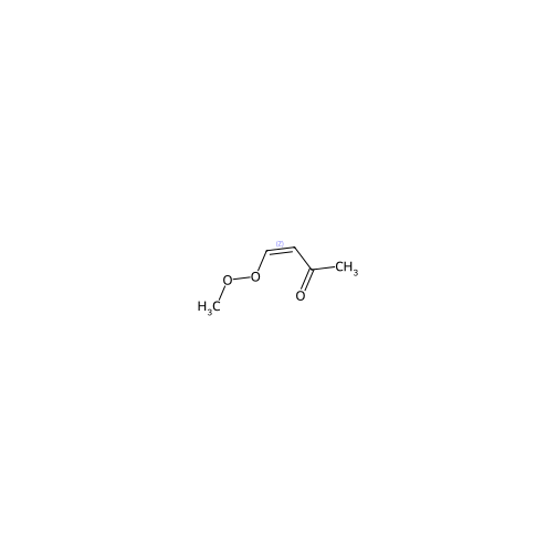 COO/C=C\C(C)=O